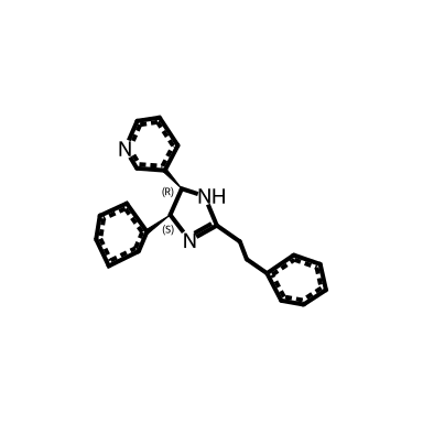 c1ccc(CCC2=N[C@@H](c3ccccc3)[C@@H](c3cccnc3)N2)cc1